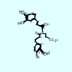 O=C(O)CCN(C(=O)C=Cc1ccc(O)c(O)c1)C(=O)C=Cc1ccc(O)c(O)c1